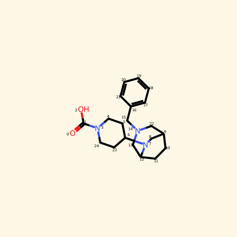 O=C(O)N1CCC(N2CC3CCC2CN(Cc2ccccc2)C3)CC1